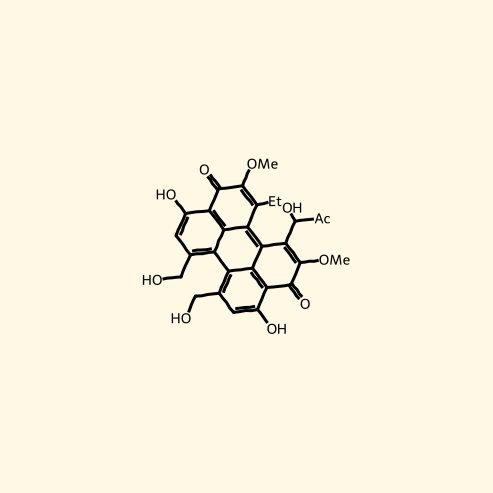 CCc1c(OC)c(=O)c2c(O)cc(CO)c3c4c(CO)cc(O)c5c(=O)c(OC)c(C(O)C(C)=O)c(c1c23)c54